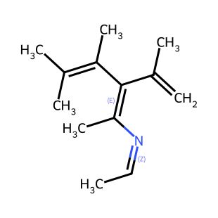 C=C(C)/C(C(C)=C(C)C)=C(C)\N=C/C